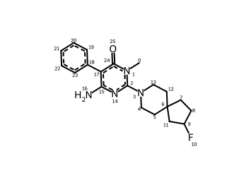 Cn1c(N2CCC3(CCC(F)C3)CC2)nc(N)c(-c2ccccc2)c1=O